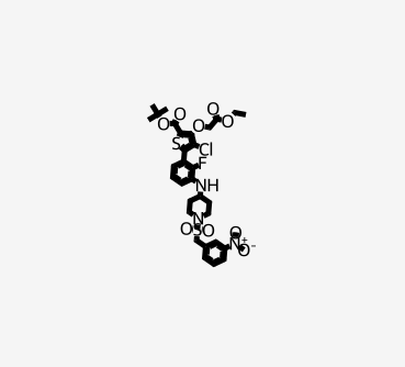 CCOC(=O)COc1c(C(=O)OC(C)(C)C)sc(-c2cccc(NC3CCN(S(=O)(=O)Cc4cccc([N+](=O)[O-])c4)CC3)c2F)c1Cl